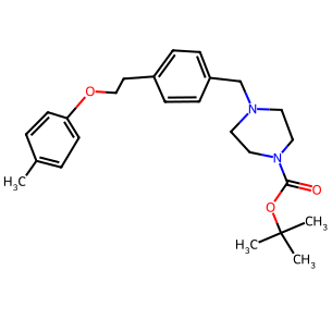 Cc1ccc(OCCc2ccc(CN3CCN(C(=O)OC(C)(C)C)CC3)cc2)cc1